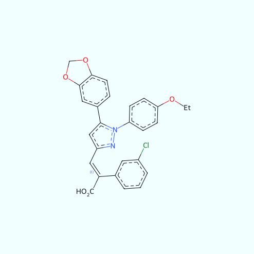 CCOc1ccc(-n2nc(/C=C(/C(=O)O)c3cccc(Cl)c3)cc2-c2ccc3c(c2)OCO3)cc1